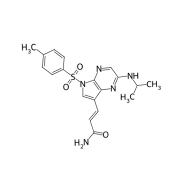 Cc1ccc(S(=O)(=O)n2cc(/C=C/C(N)=O)c3nc(NC(C)C)cnc32)cc1